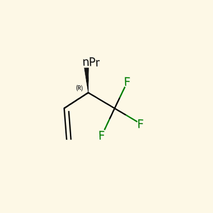 C=C[C@@H](CCC)C(F)(F)F